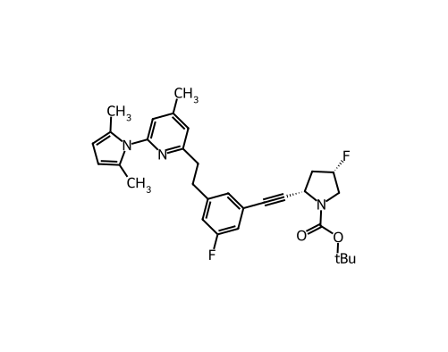 Cc1cc(CCc2cc(F)cc(C#C[C@@H]3C[C@H](F)CN3C(=O)OC(C)(C)C)c2)nc(-n2c(C)ccc2C)c1